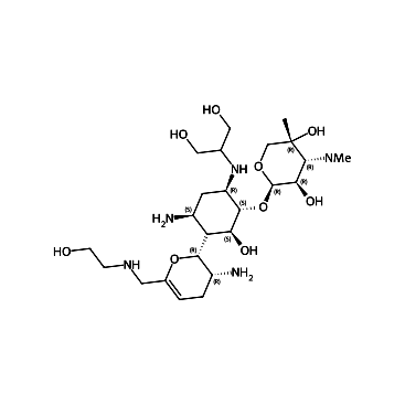 CN[C@@H]1[C@@H](O)[C@@H](O[C@H]2[C@H](NC(CO)CO)C[C@H](N)C([C@H]3OC(CNCCO)=CC[C@H]3N)[C@@H]2O)OC[C@]1(C)O